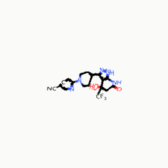 N#Cc1ccc(N2CCC(c3n[nH]c4c3C(O)(C(F)(F)F)CC(=O)N4)CC2)nc1